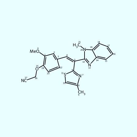 COc1cc(/C=C(\c2nc(C)cs2)c2nc3ccccc3n2C)ccc1OCC#N